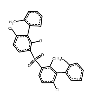 Cc1ccccc1-c1c(Cl)ccc(S(=O)(=O)c2ccc(Cl)c(-c3ccccc3C)c2Cl)c1Cl